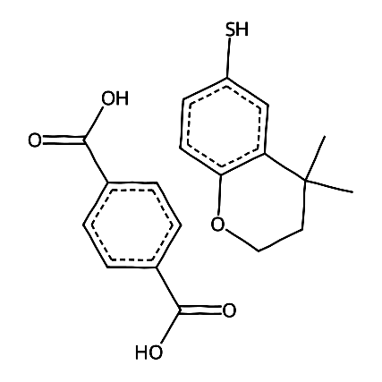 CC1(C)CCOc2ccc(S)cc21.O=C(O)c1ccc(C(=O)O)cc1